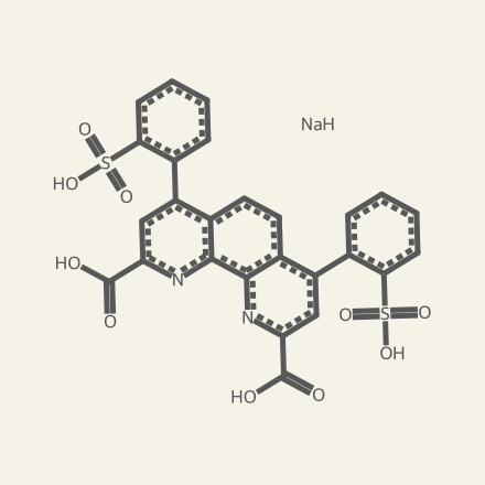 O=C(O)c1cc(-c2ccccc2S(=O)(=O)O)c2ccc3c(-c4ccccc4S(=O)(=O)O)cc(C(=O)O)nc3c2n1.[NaH]